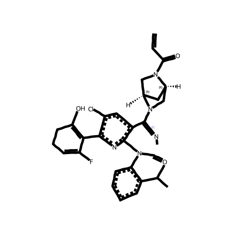 C=CC(=O)N1C[C@H]2C[C@@H]1CN2/C(=N/C)c1cc(Cl)c(C2=C(O)CCC=C2F)nc1N(C=O)c1ccccc1C(C)C